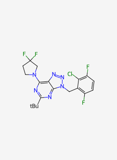 CC(C)(C)c1nc(N2CCC(F)(F)C2)c2nnn(Cc3c(F)ccc(F)c3Cl)c2n1